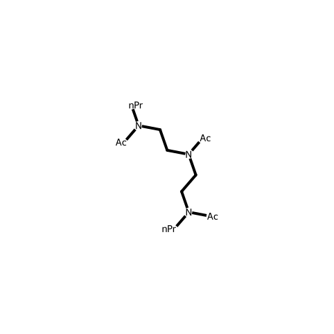 CCCN(CCN(CCN(CCC)C(C)=O)C(C)=O)C(C)=O